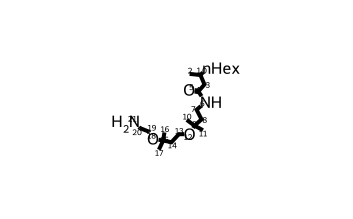 CCCCCCC(C)CC(=O)NCCC(C)(C)OCCC(C)(C)OCCN